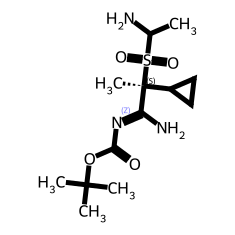 CC(N)S(=O)(=O)[C@](C)(/C(N)=N/C(=O)OC(C)(C)C)C1CC1